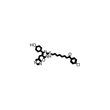 O=C(CCCCCCCSc1nc(C2CCC(O)CC2)c(Cc2cncnc2)c(=O)[nH]1)c1ccc(Cl)cc1